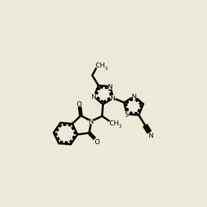 CCc1nc(C(C)N2C(=O)c3ccccc3C2=O)n(-c2ncc(C#N)s2)n1